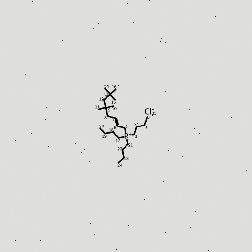 CCCC[P+](CC=CCC(C)(C)CC(C)(C)C)(CCCC)CCCC.[Cl-]